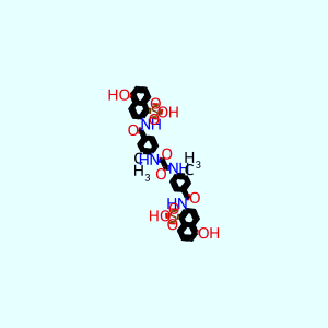 Cc1cc(C(=O)Nc2ccc3c(O)cccc3c2S(=O)(=O)O)ccc1NC(=O)C(=O)Nc1ccc(C(=O)Nc2ccc3c(O)cccc3c2S(=O)(=O)O)cc1C